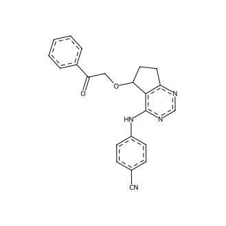 N#Cc1ccc(Nc2ncnc3c2C(OCC(=O)c2ccccc2)CC3)cc1